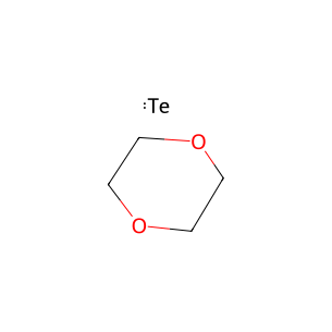 C1COCCO1.[Te]